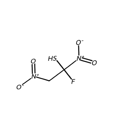 O=[N+]([O-])CC(F)(S)[N+](=O)[O-]